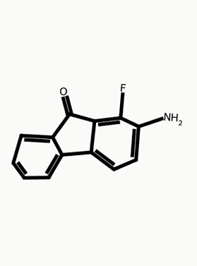 Nc1ccc2c(c1F)C(=O)c1ccccc1-2